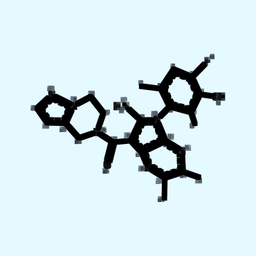 Cc1cc(F)c(O)c(C)c1-n1c(N)c(C(=O)N2CCn3nccc3C2)c2nc(C)c(C)nc21